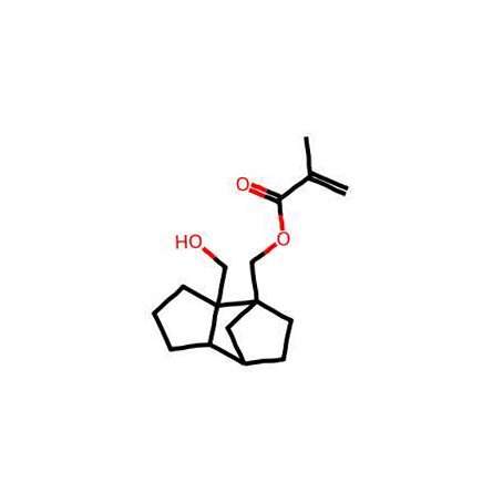 C=C(C)C(=O)OCC12CCC(C1)C1CCCC12CO